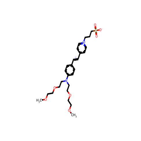 COCCOCCN(CCOCCOC)c1ccc(/C=C/c2cc[n+](CCCS(=O)(=O)[O-])cc2)cc1